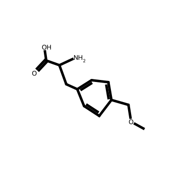 COCc1ccc(CC(N)C(=O)O)cc1